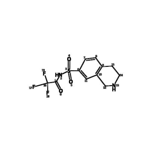 O=C(NS(=O)(=O)c1ccc2c(c1)CNCC2)C(F)(F)F